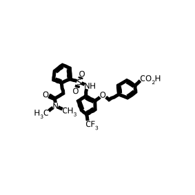 CN(C)C(=O)Cc1ccccc1S(=O)(=O)Nc1ccc(C(F)(F)F)cc1OCc1ccc(C(=O)O)cc1